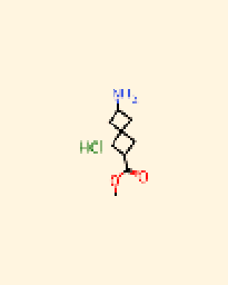 COC(=O)C1CC2(CC(N)C2)C1.Cl